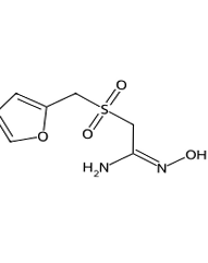 N/C(CS(=O)(=O)Cc1ccco1)=N/O